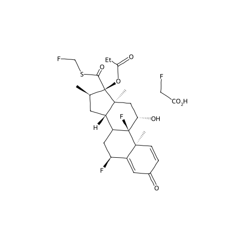 CCC(=O)O[C@]1(C(=O)SCF)[C@H](C)C[C@H]2C3C[C@H](F)C4=CC(=O)C=C[C@]4(C)[C@@]3(F)[C@@H](O)C[C@@]21C.O=C(O)CF